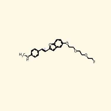 CNc1ccc(/C=C/c2cc3cc(OCCOCCOCCF)ccc3o2)cc1